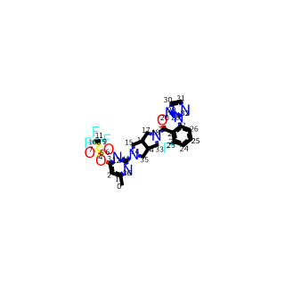 Cc1cc(OS(=O)(=O)C(F)(F)F)nc(N2CC3CN(C(=O)c4c(F)cccc4-n4nccn4)CC3C2)n1